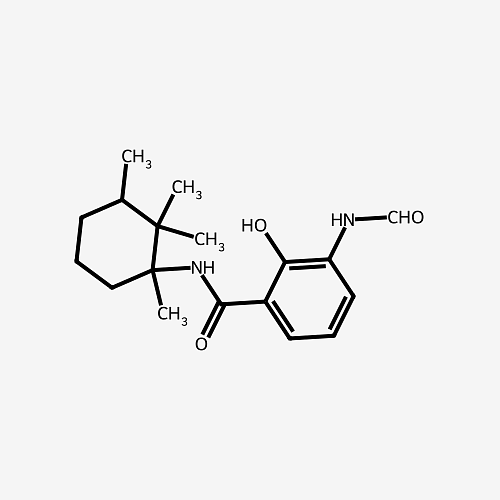 CC1CCCC(C)(NC(=O)c2cccc(NC=O)c2O)C1(C)C